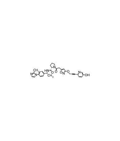 Cc1nccn1-c1ccc([C@H](C)NC(=O)[C@@H]2CCCN2C(=O)Cc2cc(OCC#Cc3ccc(O)cn3)no2)cc1